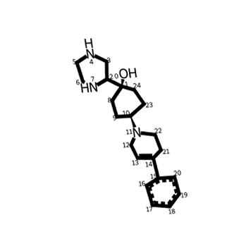 O[C@]1(C2CNCCN2)CC[C@H](N2CC=C(c3ccccc3)CC2)CC1